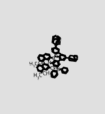 Cc1cc2c(cc1N1c3cc(N(c4ccccc4)c4ccccc4)cc4c3B(c3ccc5ccccc5c31)n1c3ccc(C56CC7CC(CC(C7)C5)C6)cc3c3cc(C56CC7CC(CC(C7)C5)C6)cc-4c31)C(C)(C)CCC2(C)C